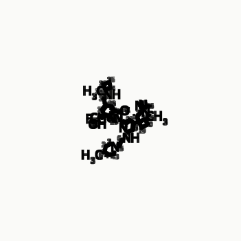 CC1CCN(CCNc2cc(C3(Cc4nncn4C)CCC3)cc(N3Cc4c(cc(CNC5(C)CCC5)cc4C(F)(F)F)C3=O)n2)CC1.O=CO